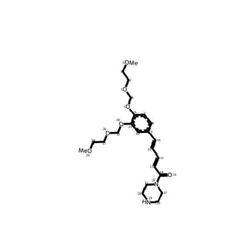 COCCOCOc1ccc(C=CC=CC(=O)N2CCNCC2)cc1OCOCCOC